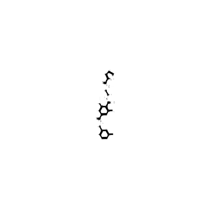 Cc1cccc(CNC(=O)c2cc(C)c(C(=O)NCCNC(=O)c3ccco3)c(C)c2)c1